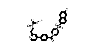 CC(C)(C)OC(=O)[NH+]([O-])CCc1cc(-c2ccc(C(=O)N3CCN(S(=O)(=O)c4ccc5cc(Cl)ccc5c4)CC3)cc2)ccn1